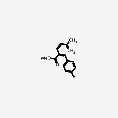 C=C(C)/C=C\C(=C\c1ccc(F)cc1)C(=O)OC